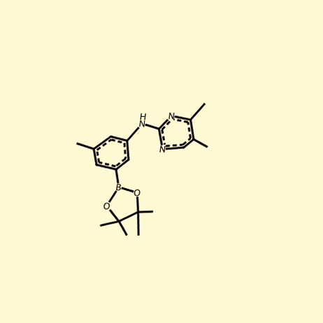 Cc1cc(Nc2ncc(C)c(C)n2)cc(B2OC(C)(C)C(C)(C)O2)c1